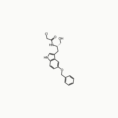 O=C(CCl)N[C@H](CO)Cc1c[nH]c2ccc(OCc3ccccc3)cc12